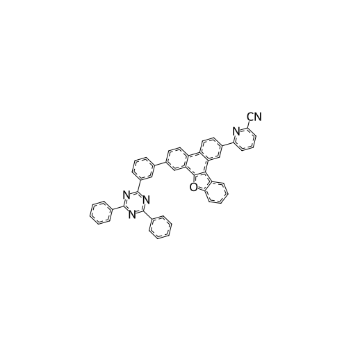 N#Cc1cccc(-c2ccc3c4ccc(-c5cccc(-c6nc(-c7ccccc7)nc(-c7ccccc7)n6)c5)cc4c4oc5ccccc5c4c3c2)n1